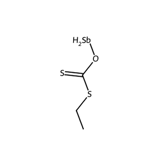 CCSC(=S)[O][SbH2]